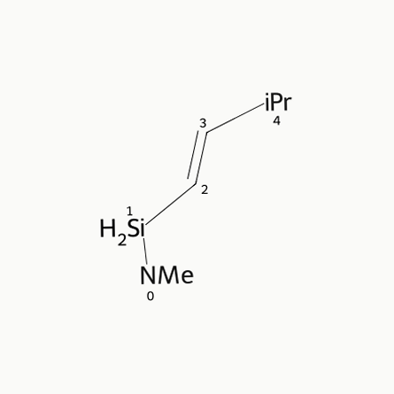 CN[SiH2]C=CC(C)C